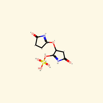 O=C1CCC(OC2CC(=O)N=C2OS(=O)(=O)O)=N1